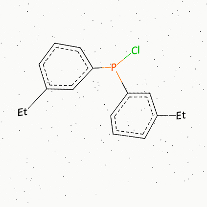 CCc1cccc(P(Cl)c2cccc(CC)c2)c1